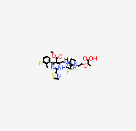 CCOC(=O)C1=C(CN2CC(F)(F)[C@H]3[C@@H]2CCN3CCOC(C)C(=O)O)NC(c2nccs2)=N[C@H]1c1cccc(F)c1C